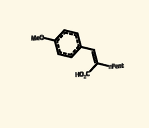 CCCCCC(=Cc1ccc(OC)cc1)C(=O)O